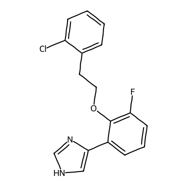 Fc1cccc(-c2c[nH]cn2)c1OCCc1ccccc1Cl